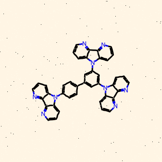 c1cnc2c3ncccc3n(-c3ccc(-c4cc(-n5c6cccnc6c6ncccc65)cc(-n5c6cccnc6c6ncccc65)c4)cc3)c2c1